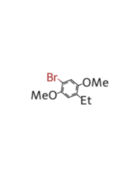 [CH2]Cc1cc(OC)c(Br)cc1OC